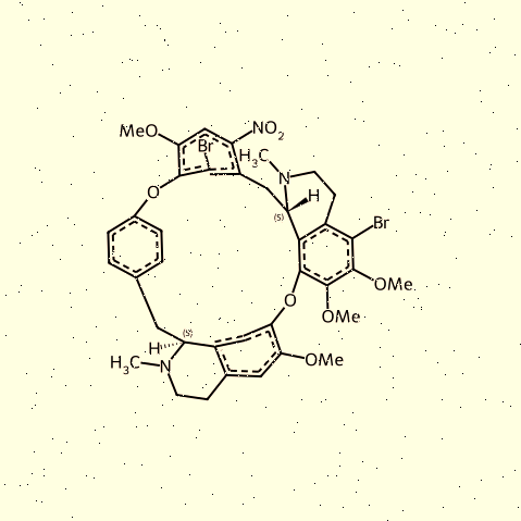 COc1cc2c3cc1Oc1c(OC)c(OC)c(Br)c4c1[C@H](Cc1c([N+](=O)[O-])cc(OC)c(c1Br)Oc1ccc(cc1)C[C@@H]3N(C)CC2)N(C)CC4